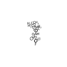 Cc1cc(NC(=O)C(=O)N2CCCC[C@H]2c2cc(F)cc(Cl)c2)cnc1NC(=O)OC(C)(C)C